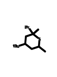 CC1CC(C(C)(C)C)CC(C)(C(C)C)S1